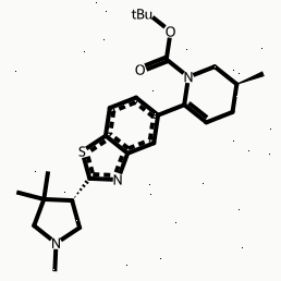 C[C@H]1CC=C(c2ccc3sc([C@@H]4CN(C)CC4(C)C)nc3c2)N(C(=O)OC(C)(C)C)C1